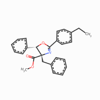 CCc1ccc(C2=N[C@](Cc3ccccc3)(C(=O)OC)[C@H](c3ccccc3)O2)cc1